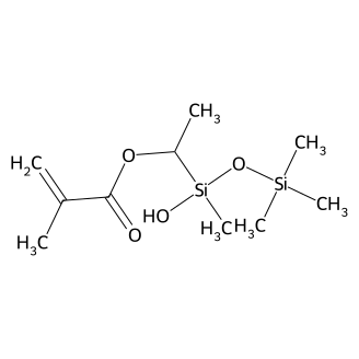 C=C(C)C(=O)OC(C)[Si](C)(O)O[Si](C)(C)C